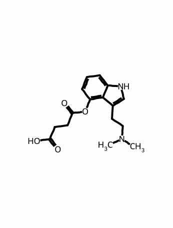 CN(C)CCc1c[nH]c2cccc(OC(=O)CCC(=O)O)c12